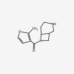 Cc1occc1C(=O)N1CC2CNCCC21